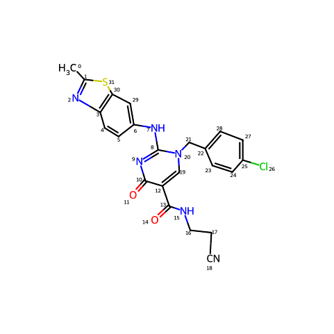 Cc1nc2ccc(Nc3nc(=O)c(C(=O)NCCC#N)cn3Cc3ccc(Cl)cc3)cc2s1